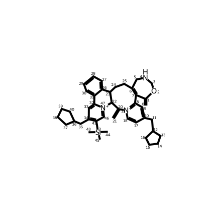 C=C1OCNCC2=C1c1cc(CC3CCCC3)cc[n+]1C(=C)C1C(CC2)c2ccccc2-c2cc(CC3CCCC3)c([Si](C)(C)C)c[n+]21